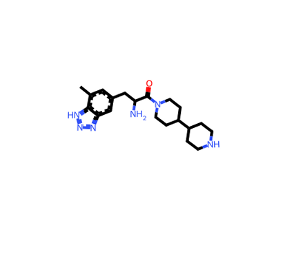 Cc1cc(CC(N)C(=O)N2CCC(C3CCNCC3)CC2)cc2nn[nH]c12